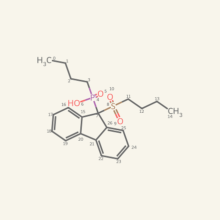 CCCCP(=O)(O)C1(S(=O)(=O)CCCC)c2ccccc2-c2ccccc21